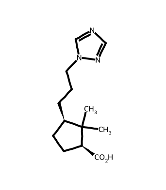 CC1(C)[C@H](CCCn2cncn2)CC[C@@H]1C(=O)O